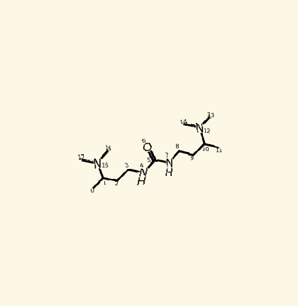 CC(CCNC(=O)NCCC(C)N(C)C)N(C)C